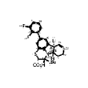 CC(C)(C)C1(C(=O)O)CSc2cc(-c3cccc(F)c3F)cc3c2N1[C@H]1CCN=C[C@H]31